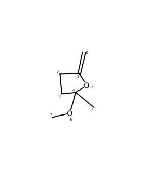 C=C1CCC(C)(OC)O1